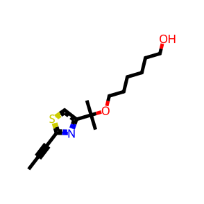 CC#Cc1nc(C(C)(C)OCCCCCCO)cs1